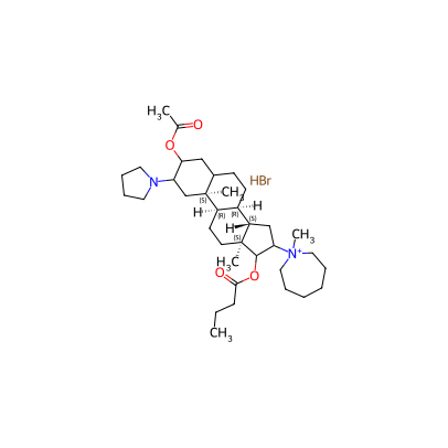 Br.CCCC(=O)OC1C([N+]2(C)CCCCCC2)C[C@H]2[C@@H]3CCC4CC(OC(C)=O)C(N5CCCC5)C[C@]4(C)[C@@H]3CC[C@]12C